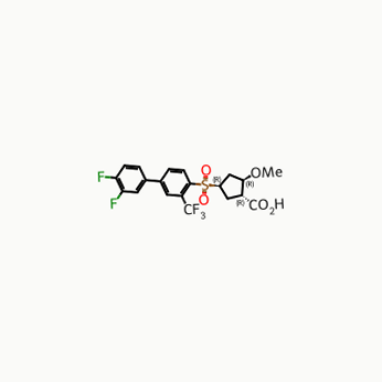 CO[C@@H]1C[C@H](S(=O)(=O)c2ccc(-c3ccc(F)c(F)c3)cc2C(F)(F)F)C[C@H]1C(=O)O